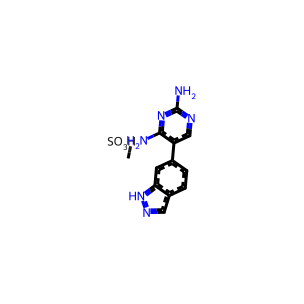 CS(=O)(=O)O.Nc1ncc(-c2ccc3cn[nH]c3c2)c(N)n1